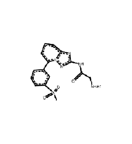 CC(=O)NCC(=O)Nc1nc2cccc(-c3cccc(S(C)(=O)=O)c3)n2n1